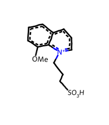 COc1cccc2ccc[n+](CCCS(=O)(=O)O)c12